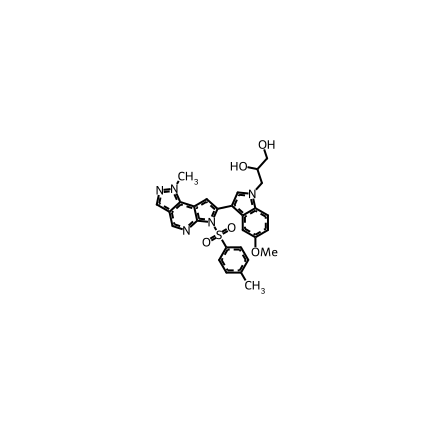 COc1ccc2c(c1)c(-c1cc3c4c(cnc3n1S(=O)(=O)c1ccc(C)cc1)cnn4C)cn2CC(O)CO